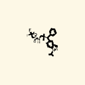 CC(C)n1ncc2cc([C@H](c3ccccc3)C(C)(C)CNS(=O)(=O)CC(F)(F)F)ccc21